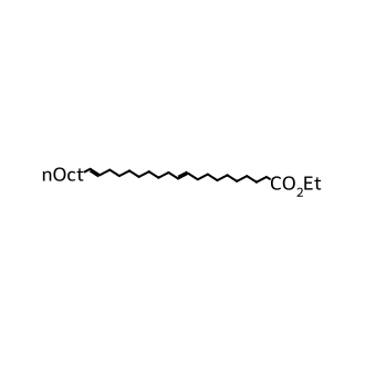 CCCCCCCCC=CCCCCCCCC=CCCCCCCCCC(=O)OCC